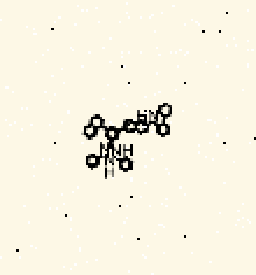 C1=CC2=c3ccccc3=C(c3ccc4cc(-c5cc(-c6cccc7ccccc67)cc(C6N=C(c7ccccc7)NC(c7ccccc7)N6)c5)ccc4c3)NC2C=C1